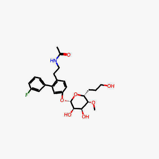 CO[C@@H]1[C@@H](O)[C@@H](O)[C@H](Oc2ccc(CCNC(C)=O)c(-c3cccc(F)c3)c2)O[C@@H]1CCCO